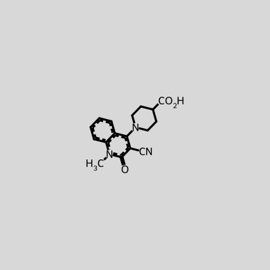 Cn1c(=O)c(C#N)c(N2CCC(C(=O)O)CC2)c2ccccc21